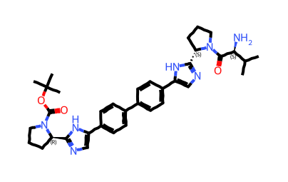 CC(C)[C@H](N)C(=O)N1CCC[C@H]1c1ncc(-c2ccc(-c3ccc(-c4cnc([C@H]5CCCN5C(=O)OC(C)(C)C)[nH]4)cc3)cc2)[nH]1